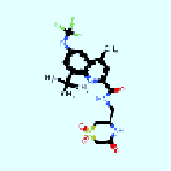 Cc1cc(C(=O)NC[C@@H]2CS(=O)(=O)CC(=O)N2)nc2c(C(C)(C)C)cc(NC(F)(F)F)cc12